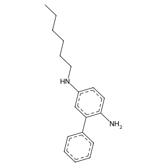 CCCCCCNc1ccc(N)c(-c2ccccc2)c1